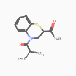 CCCCCC[C@H](C(=O)O)C(=O)N1CC(C(=O)NC)Sc2ccccc21